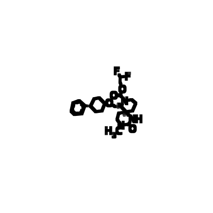 CN1CC[C@@]2(CCCN(C(=O)OCC(F)F)[C@H]2CO[C@H]2CC[C@@H](c3ccccc3)CC2)NC1=O